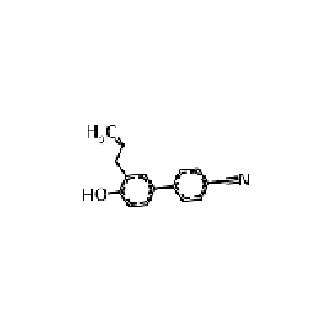 C=CCc1cc(-c2ccc(C#N)cc2)ccc1O